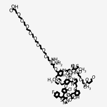 COc1ccccc1-c1nccc(COc2ccccc2CC(Oc2ncnc3sc(-c4ccc(F)cc4)c(-c4ccc(OCCN5CC[N+](C)(Cc6ccc(NC(=O)CNC(=O)C(NC(=O)CCOCCN(C)C(=O)/C=C\C=O)C(C)C)cc6COC/C(N)=C/N(N)CCOCCOCCOCCOCCOCCOCCOCCOCCC(=O)O)CC5)c(Cl)c4C)c23)C(=O)O)n1